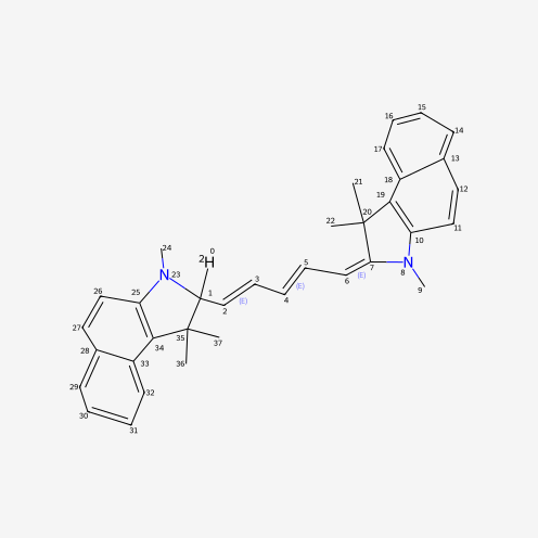 [2H]C1(/C=C/C=C/C=C2/N(C)c3ccc4ccccc4c3C2(C)C)N(C)c2ccc3ccccc3c2C1(C)C